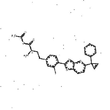 N[C@H](CCc1ccc(-c2nc3ccc(C4(c5ccccc5)C=C4)nc3s2)c(F)c1)C(=O)OC(=O)C(F)(F)F